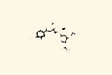 CCCC(=O)O[C@H]1[C@H](OC(O)CCC)COC(OC(=O)C(C)(CC(F)c2ccc(O)c(O)c2)NN)[C@@H]1OC(=O)CCC